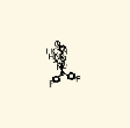 COc1ccnc(C(=O)N[C@@H](C)c2noc(C3C(c4ccc(F)cc4)C3c3ccc(F)cc3)n2)c1O